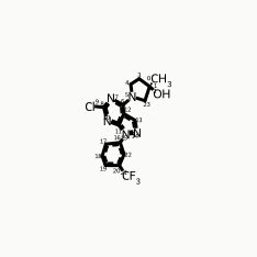 C[C@@]1(O)CCN(c2nc(Cl)nc3c2cnn3-c2cccc(C(F)(F)F)c2)C1